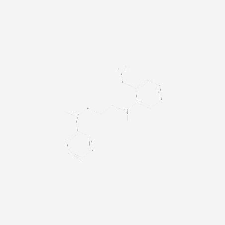 CN(CCCNc1ccccc1CO)c1ccccc1